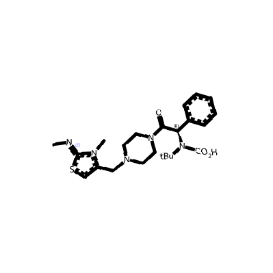 C/N=c1\scc(CN2CCN(C(=O)[C@@H](c3ccccc3)N(C(=O)O)C(C)(C)C)CC2)n1C